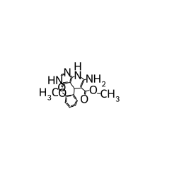 CCOC(=O)C1=C(N)Nc2nc[nH]c(=O)c2C1c1ccccc1OC